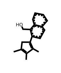 CC1=C(C)C(C)=C(c2ccc3ccccc3c2CO)C1